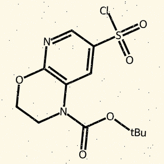 CC(C)(C)OC(=O)N1CCOc2ncc(S(=O)(=O)Cl)cc21